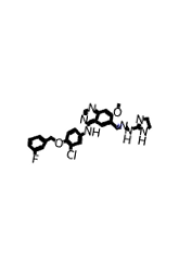 COc1cc2ncnc(Nc3ccc(OCc4cccc(F)c4)c(Cl)c3)c2cc1/C=N/NC1=NCCN1